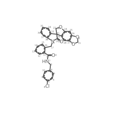 O=C(NCc1ccc(Cl)cc1)c1ccccc1CN1C(=O)C2(COc3cc4c(cc32)OCO4)c2ccccc21